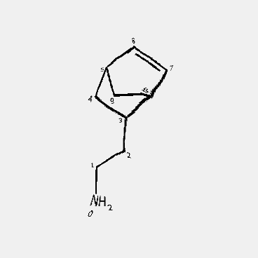 NCCC1CC2C=CC1C2